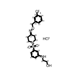 Cl.O=S(=O)(c1cccc(NCCO)c1)N1CCC(=NOCc2cccc(C(F)(F)F)c2)CC1